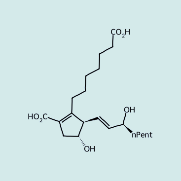 CCCCC[C@H](O)C=C[C@@H]1C(CCCCCCC(=O)O)=C(C(=O)O)C[C@H]1O